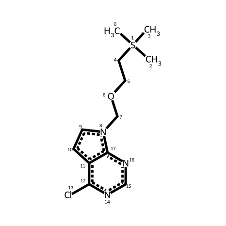 CS(C)(C)CCOCn1ccc2c(Cl)ncnc21